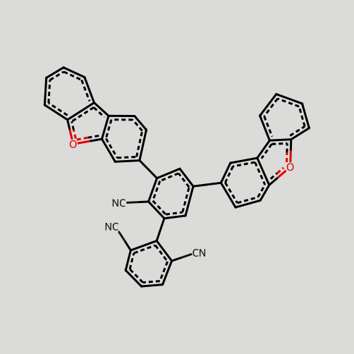 N#Cc1cccc(C#N)c1-c1cc(-c2ccc3oc4ccccc4c3c2)cc(-c2ccc3c(c2)oc2ccccc23)c1C#N